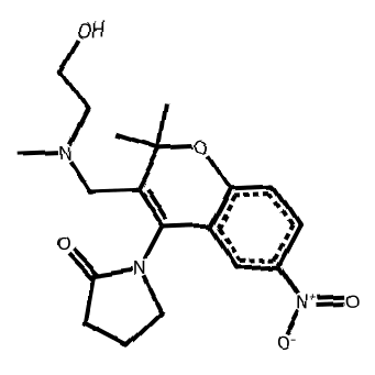 CN(CCO)CC1=C(N2CCCC2=O)c2cc([N+](=O)[O-])ccc2OC1(C)C